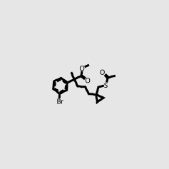 COC(=O)C(C)(CCCC1(CSC(C)=O)CC1)c1cccc(Br)c1